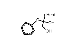 CCCCCCCC(O)(CO)Oc1ccccc1